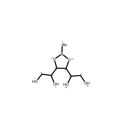 CC(C)(C)B1OC(C(O)CO)C(C(O)CO)O1